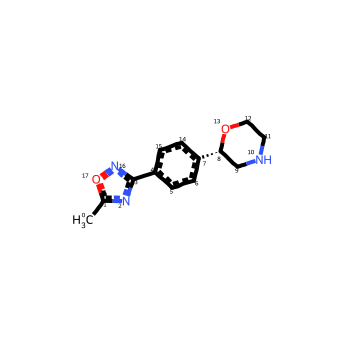 Cc1nc(-c2ccc([C@H]3CNCCO3)cc2)no1